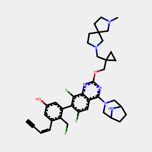 C#C/C=C\c1cc(O)cc(-c2c(F)cc3c(N4CC5CCC(C4)N5)nc(OCC4(CN5CCC6(CCN(C)C6)C5)CC4)nc3c2F)c1CF